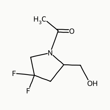 CC(=O)N1CC(F)(F)CC1CO